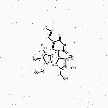 O=C1NC(=O)[N+]([C@@H]2O[C@H](CO)[C@@H](O)[C@H]2O)([C@@H]2O[C@H](CO)[C@@H](O)[C@@H]2O)C=C1/C=C/Br